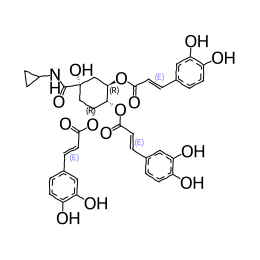 O=C(/C=C/c1ccc(O)c(O)c1)O[C@@H]1C[C@](O)(C(=O)NC2CC2)C[C@@H](OC(=O)/C=C/c2ccc(O)c(O)c2)[C@H]1OC(=O)/C=C/c1ccc(O)c(O)c1